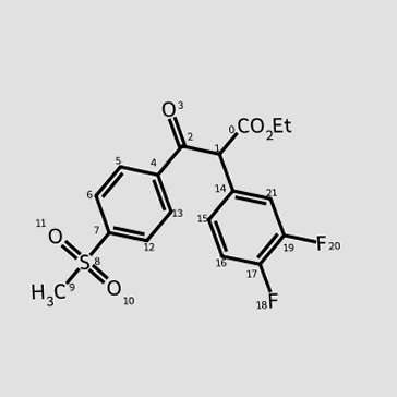 CCOC(=O)C(C(=O)c1ccc(S(C)(=O)=O)cc1)c1ccc(F)c(F)c1